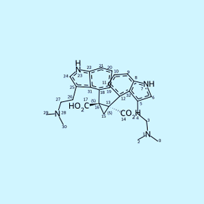 CN(C)CCc1c[nH]c2cccc([C@@]3(C(=O)O)C[C@]3(C(=O)O)c3cccc4[nH]cc(CCN(C)C)c34)c12